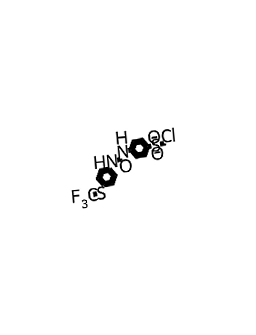 O=C(Nc1ccc(SC(F)(F)F)cc1)Nc1ccc(S(=O)(=O)CCl)cc1